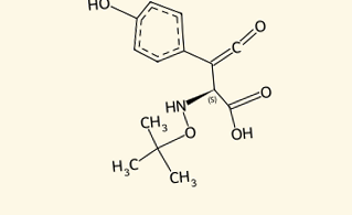 CC(C)(C)ON[C@H](C(=O)O)C(=C=O)c1ccc(O)cc1